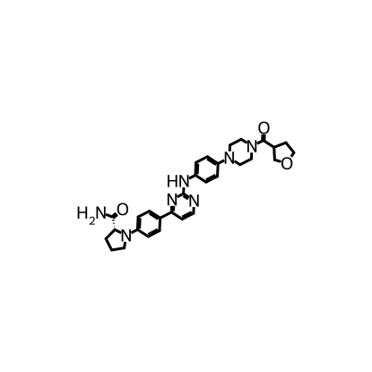 NC(=O)[C@H]1CCCN1c1ccc(-c2ccnc(Nc3ccc(N4CCN(C(=O)C5CCOC5)CC4)cc3)n2)cc1